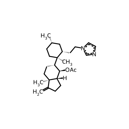 C=C1CC[C@H]2[C@H](OC(C)=O)[C@@H]([C@@]3(C)CC[C@H](C)C[C@@H]3CCn3ccnc3)CC[C@]12C